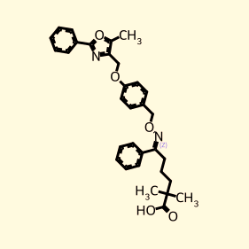 Cc1oc(-c2ccccc2)nc1COc1ccc(CO/N=C(/CCCC(C)(C)C(=O)O)c2ccccc2)cc1